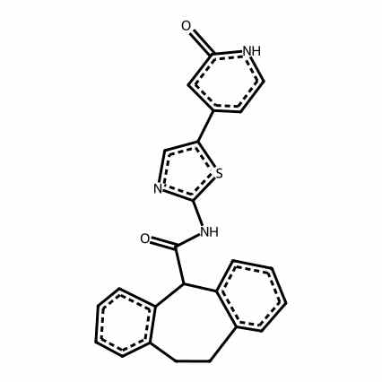 O=C(Nc1ncc(-c2cc[nH]c(=O)c2)s1)C1c2ccccc2CCc2ccccc21